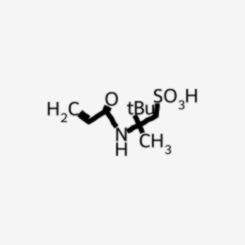 C=CC(=O)NC(C)(CS(=O)(=O)O)C(C)(C)C